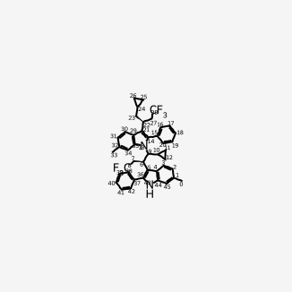 Cc1ccc2c([C@@H](CC(F)(F)F)C(C3CC3)n3c(-c4ccccc4)c([C@@H](CC4CC4)CC(F)(F)F)c4ccc(C)cc43)c(-c3ccccc3)[nH]c2c1